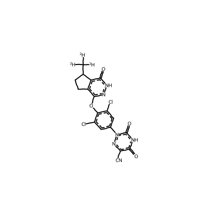 [2H]C([2H])([2H])C1CCc2c(Oc3c(Cl)cc(-n4nc(C#N)c(=O)[nH]c4=O)cc3Cl)n[nH]c(=O)c21